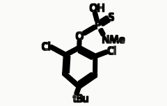 CNP(O)(=S)Oc1c(Cl)cc(C(C)(C)C)cc1Cl